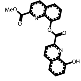 COC(=O)c1ccc2cccc(OC(=O)c3ccc4cccc(O)c4n3)c2n1